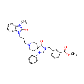 COC(=O)c1cccc(CN2CN(c3ccccc3)C3(CCN(CCCn4c(=O)n(C)c5ccccc54)CC3)C2=O)c1